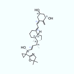 C=C1/C(=C\C=C2/CCC[C@]3(C)[C@@H]([C@H](C)/C=C/[C@@H](O)C4(C5=NCC(C)(C)O5)CC4)CC[C@@H]23)C[C@@H](O)C[C@@H]1O